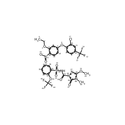 CCOc1cc(Oc2ccc(C(F)(F)F)cc2Cl)ccc1[N+](=O)[O-].COc1nn(C(=O)NS(=O)(=O)c2ccccc2OC(F)(F)F)c(=O)n1C